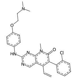 C=Cc1c(-c2ccccc2Cl)c(=O)n(C)c2nc(Nc3ccc(OCCN(C)C)cc3)ncc12